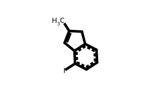 CC1=Cc2c(I)cccc2C1